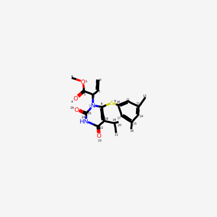 C=CC(C(=O)OC)n1c(Sc2cc(C)cc(C)c2)c(C(C)C)c(=O)[nH]c1=O